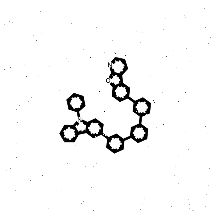 c1ccc(-n2c3ccccc3c3cc(-c4cccc(-c5cccc(-c6cccc(-c7ccc8oc9ncccc9c8c7)c6)c5)c4)ccc32)cc1